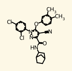 Cc1ccc(Oc2c(C#N)c(C(=O)NC3CC4CCC3C4)nn2-c2ccc(Cl)cc2Cl)cc1C